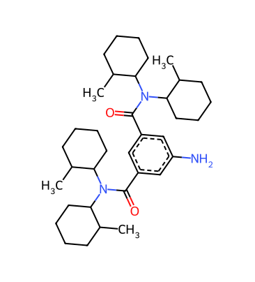 CC1CCCCC1N(C(=O)c1cc(N)cc(C(=O)N(C2CCCCC2C)C2CCCCC2C)c1)C1CCCCC1C